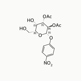 CC(=O)O[C@H]1[C@H](Oc2ccc([N+](=O)[O-])cc2)O[C@H](CO)[C@H](O)[C@@H]1OC(C)=O